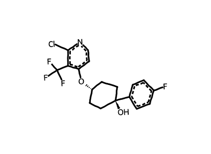 O[C@]1(c2ccc(F)cc2)CC[C@@H](Oc2ccnc(Cl)c2C(F)(F)F)CC1